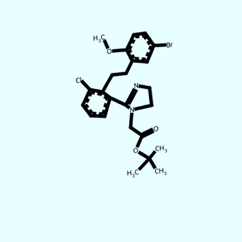 COc1ccc(Br)cc1CCc1c(Cl)cccc1C1=NCCN1CC(=O)OC(C)(C)C